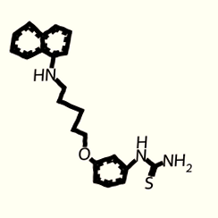 NC(=S)Nc1cccc(OCCCCCNc2cccc3ccccc23)c1